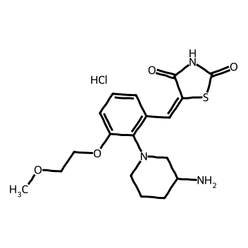 COCCOc1cccc(C=C2SC(=O)NC2=O)c1N1CCCC(N)C1.Cl